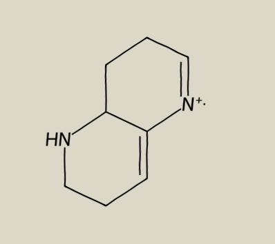 C1=[N+]C2=CCCNC2CC1